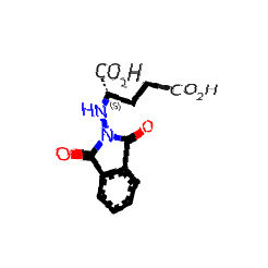 O=C(O)CC[C@H](NN1C(=O)c2ccccc2C1=O)C(=O)O